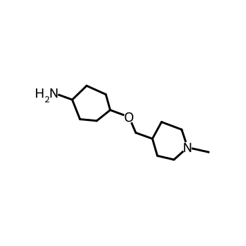 CN1CCC(COC2CCC(N)CC2)CC1